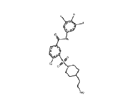 O=NCCC1CCN(S(=O)(=O)c2cc(C(=O)Nc3cc(F)c(F)c(F)c3)ccc2Cl)CC1